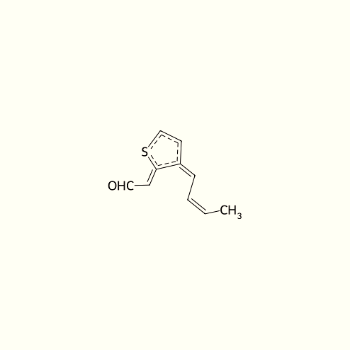 C\C=C/C=c1/ccs/c1=C\C=O